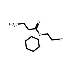 C1CCCCC1.CC(C)CCOC(=O)CCC(=O)O